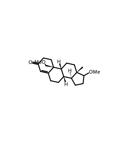 COC[C@]12CCC(=O)C=C1CC[C@@H]1[C@H]2CC[C@]2(C)C(OC)CC[C@@H]12